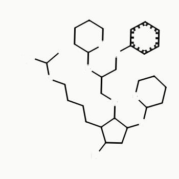 CC(SCCCCC1C(O)CC(OC2CCCCO2)C1OCC(COc1ccccc1)OC1CCCCO1)C(=O)O